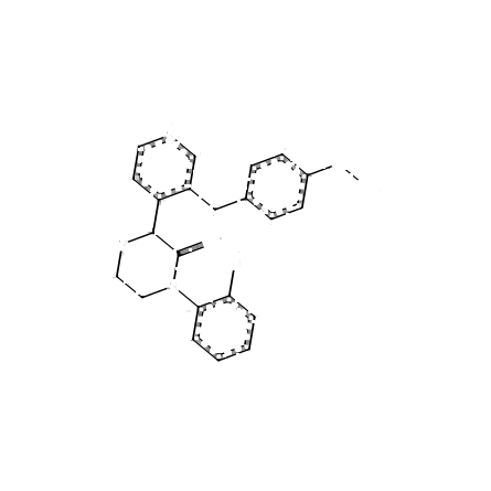 COc1ccc(Cc2cnccc2C2NCCN(c3ccccc3Cl)C2=O)cc1